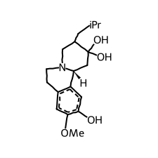 COc1cc2c(cc1O)[C@H]1CC(O)(O)C(CC(C)C)CN1CC2